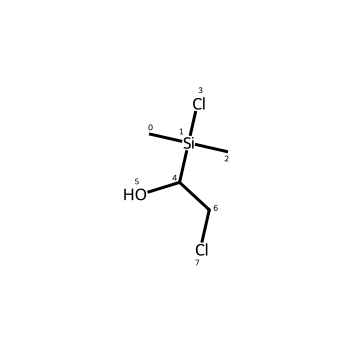 C[Si](C)(Cl)C(O)CCl